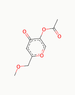 COCc1cc(=O)c(OC(C)=O)co1